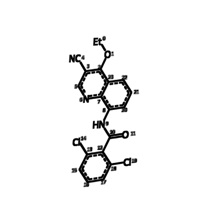 CCOc1c(C#N)cnc2c(NC(=O)c3c(Cl)cccc3Cl)cccc12